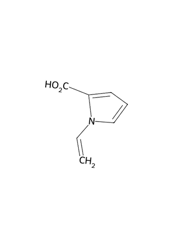 C=Cn1cccc1C(=O)O